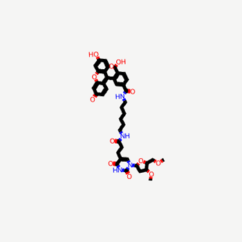 COCC1OC(n2cc(CCC(=O)NCCCCCCNC(=O)c3ccc(C(=O)O)c(-c4c5ccc(=O)cc-5oc5cc(O)ccc45)c3)c(=O)[nH]c2=O)CC1OC